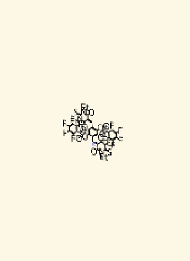 CCC1C(=O)/C(=C\c2cc(OS(=O)(=O)c3c(F)c(F)c(F)c(F)c3F)c(C=C3C(=O)N(CC)C(=S)N(CC)C3=O)cc2OS(=O)(=O)c2c(F)c(F)c(F)c(F)c2F)C(=O)N(CC)C1=S